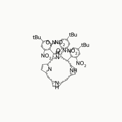 CC(C)(C)c1cc([N+](=O)[O-])c(-c2c(-c3c([N+](=O)[O-])cc(C(C)(C)C)cc3[N+](=O)[O-])c3[nH]c2c2nc(cc4ccc(cc5ccc([nH]5)c3-c3c([N+](=O)[O-])cc(C(C)(C)C)cc3[N+](=O)[O-])[nH]4)C=C2)c([N+](=O)[O-])c1